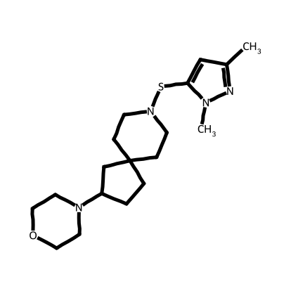 Cc1cc(SN2CCC3(CCC(N4CCOCC4)C3)CC2)n(C)n1